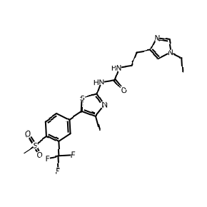 CCn1cnc(CCNC(=O)Nc2nc(C)c(-c3ccc(S(C)(=O)=O)c(C(F)(F)F)c3)s2)c1